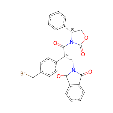 O=C1c2ccccc2C(=O)N1C[C@@H](C(=O)N1C(=O)OC[C@H]1c1ccccc1)c1ccc(CBr)cc1